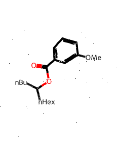 CCCCCCC(CCCC)OC(=O)c1cccc(OC)c1